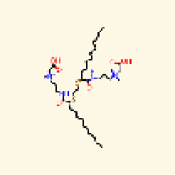 CCCCCCCCCCC(SCCSC(CCCCCCCCCC)C(=O)NCCC[N+](C)(C)CC(=O)O)C(=O)NCCC[N+](C)(C)CC(=O)O